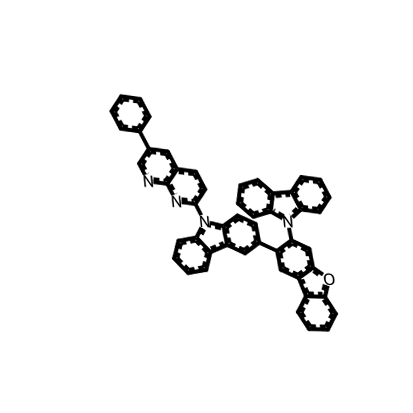 c1ccc(-c2cnc3nc(-n4c5ccccc5c5cc(-c6cc7c(cc6-n6c8ccccc8c8ccccc86)oc6ccccc67)ccc54)ccc3c2)cc1